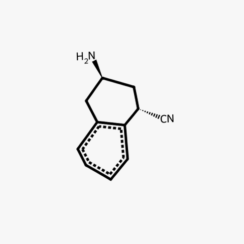 N#C[C@H]1C[C@H](N)Cc2ccccc21